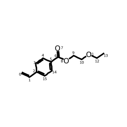 C=Cc1ccc(C(=O)OCCOCC)cc1